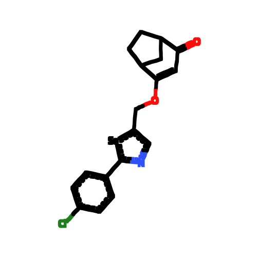 O=C1C=C(OCc2cnc(-c3ccc(Cl)cc3)[se]2)C2CCC1C2